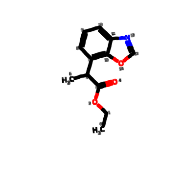 CCOC(=O)C(C)c1cccc2ncoc12